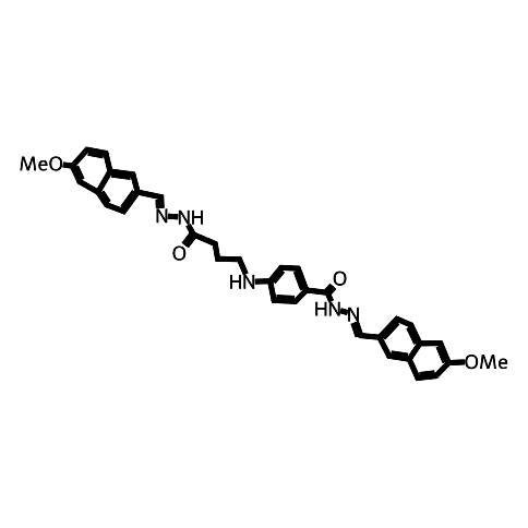 COc1ccc2cc(/C=N/NC(=O)CCCNc3ccc(C(=O)N/N=C/c4ccc5cc(OC)ccc5c4)cc3)ccc2c1